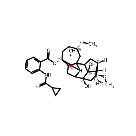 CO[C@H]1CC[C@]2(OC(=O)c3ccccc3NC(=O)C3CC3)C3CC4N(N[C@H]2C)C3(C1)C1C[C@@H]2[C@@H](OC)C[C@@]4(O)[C@@]1(O)[C@H]2OC